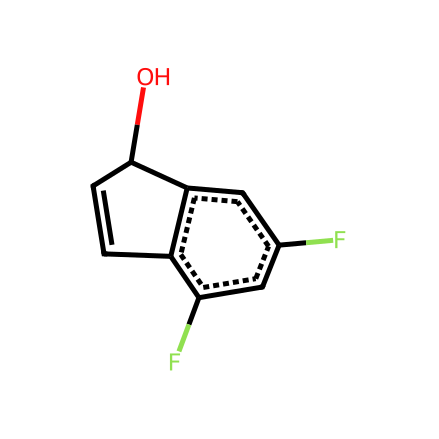 OC1C=Cc2c(F)cc(F)cc21